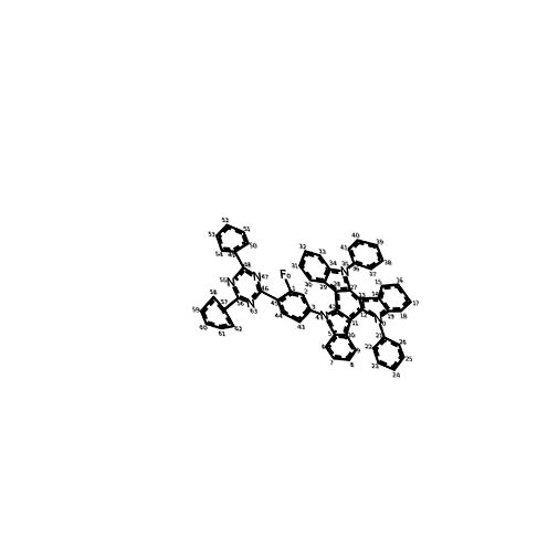 Fc1cc(-n2c3ccccc3c3c4c(c5ccccc5n4-c4ccccc4)c4c(c5ccccc5n4-c4ccccc4)c32)ccc1-c1nc(-c2ccccc2)nc(-c2ccccc2)n1